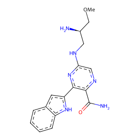 COC[C@H](N)CNc1cnc(C(N)=O)c(-c2cc3ccccc3[nH]2)n1